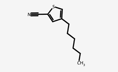 CCCCCCc1csc(C#N)c1